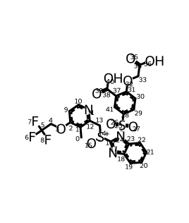 Cc1c(OCC(F)(F)F)ccnc1C[S+]([O-])c1nc2ccccc2n1S(=O)(=O)c1ccc(OCC(=O)O)c(C(=O)O)c1